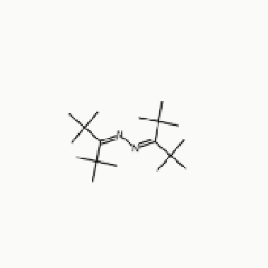 CC(C)(C)C(=NN=C(C(C)(C)C)C(C)(C)C)C(C)(C)C